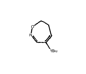 CC(C)(C)C1=CCCON=C1